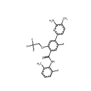 Cc1ccc(-c2cc(OCC(F)(F)F)c(C(=O)Nc3c(C)cccc3F)cc2F)nc1N